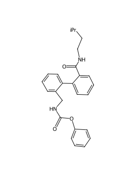 CC(C)CCNC(=O)c1ccccc1-c1ccccc1CNC(=O)Oc1ccccc1